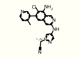 Cc1ccncc1-c1cc2cc(Nc3cnn([C@@H](C)C#N)c3)ncc2c(N)c1Cl